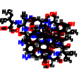 CC[C@H](C)[C@H](NC(=O)[C@@H](NC(=O)[C@H](Cc1ccccc1)NC(=O)[C@H](CC(N)=O)NC(=O)[C@@H](NC(=O)[C@@H]1CCCN1C(=O)[C@@H](NC(=O)[C@H](C)NC(=O)[C@@H](NC(=O)[C@H](CO)NC(=O)[C@H](CC(N)=O)NC(=O)[C@H](CC(N)=O)NC(=O)[C@H](CO)NC(=O)[C@H](Cc1ccc(O)cc1)NC(=O)[C@H](C)NC(=O)[C@@H](NC(=O)[C@H](CO)NC(=O)[C@H](CC(N)=O)NC(=O)[C@H](CCC(=O)O)NC(=O)[C@H](C)N)C(C)C)[C@@H](C)CC)[C@@H](C)CC)[C@@H](C)O)[C@@H](C)O)C(=O)O